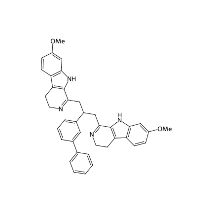 COc1ccc2c3c([nH]c2c1)C(CC(CC1=NCCc2c1[nH]c1cc(OC)ccc21)c1cccc(-c2ccccc2)c1)=NCC3